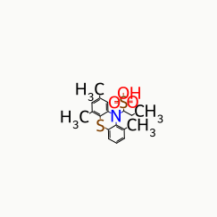 CCC(N1c2cc(C)cc(C)c2Sc2cccc(C)c21)S(=O)(=O)O